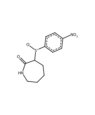 O=C1NCCCCC1[S+]([O-])c1ccc([N+](=O)[O-])cc1